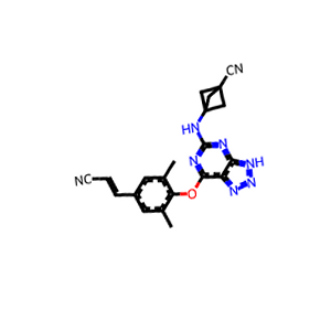 Cc1cc(C=CC#N)cc(C)c1Oc1nc(NC23CC(C#N)(C2)C3)nc2[nH]nnc12